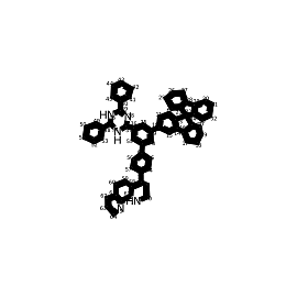 C1=CC(c2ccc(-c3cc(-c4ccc5c(c4)-c4ccccc4C54c5ccccc5-c5ccccc54)cc(C4N=C(c5ccccc5)NC(c5ccccc5)N4)c3)cc2)=C2C=Cc3cccnc3C2N1